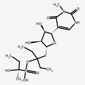 CCC(CC)(C[C@H]1O[C@@H](c2c[nH]c(=O)n(C)c2=O)[C@H](O)[C@@H]1O)OP(=O)(O)[C@@](C)(O)CC